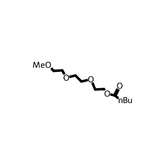 CCCCC(=O)OCCOCCOCCOC